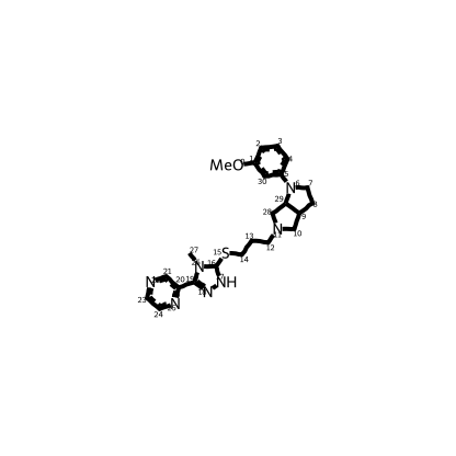 COc1cccc(N2CCC3CN(CCCSC4NN=C(c5cnccn5)N4C)CC32)c1